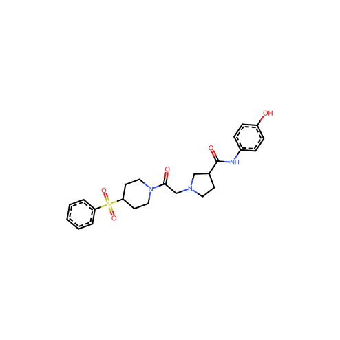 O=C(Nc1ccc(O)cc1)C1CCN(CC(=O)N2CCC(S(=O)(=O)c3ccccc3)CC2)C1